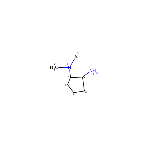 CC(=O)N(C)C1CCCC1N